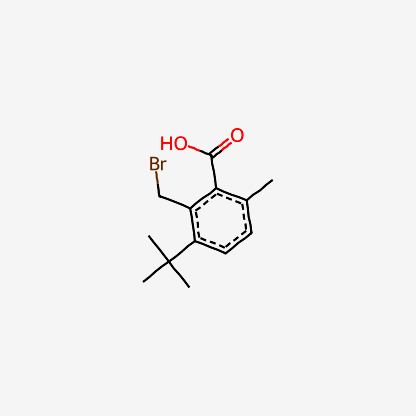 Cc1ccc(C(C)(C)C)c(CBr)c1C(=O)O